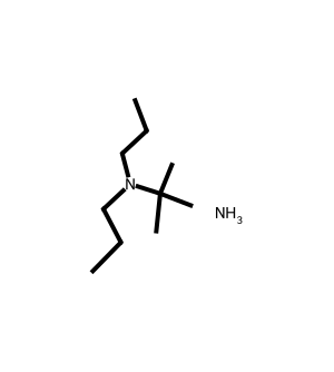 CCCN(CCC)C(C)(C)C.N